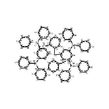 Cc1ccccc1C(c1cc(N(c2ccccc2)c2ccccc2)cc(N(c2ccccc2)c2ccccc2)c1)(c1cc(N(c2ccccc2)c2ccccc2)cc(N(c2ccccc2)c2ccccc2)c1)c1ccccc1C